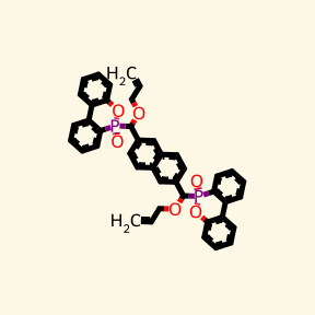 C=CCOC(c1ccc2cc(C(OCC=C)P3(=O)Oc4ccccc4-c4ccccc43)ccc2c1)P1(=O)Oc2ccccc2-c2ccccc21